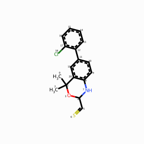 CC1(C)OC(C=S)Nc2ccc(-c3ccccc3Cl)cc21